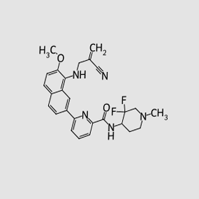 C=C(C#N)CNc1c(OC)ccc2ccc(-c3cccc(C(=O)NC4CCN(C)CC4(F)F)n3)cc12